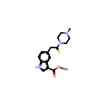 CN1CCN(C(=S)Cc2ccc3[nH]cc(C(=O)OC(C)(C)C)c3c2)CC1